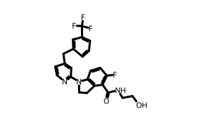 O=C(NCCO)c1c(F)ccc2c1CCN2c1cc(Cc2cccc(C(F)(F)F)c2)ccn1